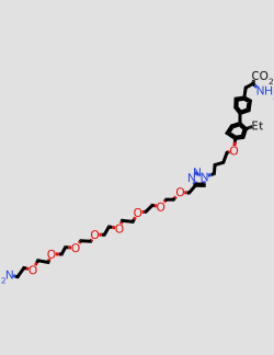 CCc1cc(OCCCCn2cc(COCCOCCOCCOCCOCCOCCOCCOCCN)nn2)ccc1-c1ccc(CC(N)C(=O)O)cc1